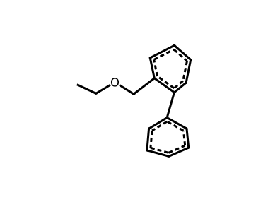 CCOCc1ccccc1-c1ccccc1